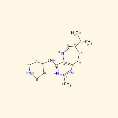 Cc1nc2c(c(NC3CCNCC3)n1)N=CC(C(C)C)CC2